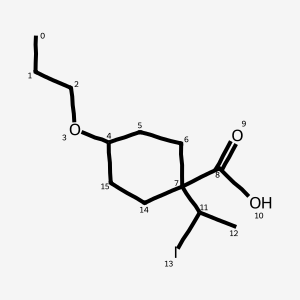 CCCOC1CCC(C(=O)O)(C(C)I)CC1